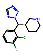 Clc1cccc(C([C@H]2CCCNC2)n2ncnn2)c1Cl